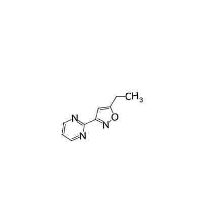 CCc1cc(-c2ncccn2)no1